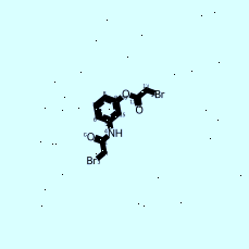 O=C(CBr)Nc1cccc(OC(=O)CBr)c1